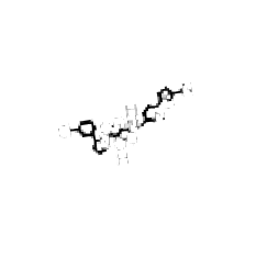 N#CC1CC=C(c2ccc(CNC(=O)[C@H](O)[C@@H](O)C(=O)N3CCCC3c3cccc(Cl)c3)cn2)S1